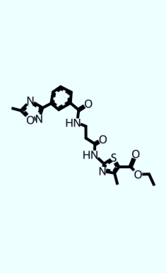 CCOC(=O)c1sc(NC(=O)CCNC(=O)c2cccc(-c3noc(C)n3)c2)nc1C